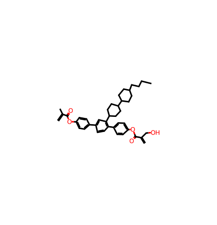 C=C(C)C(=O)Oc1ccc(-c2ccc(-c3ccc(OC(=O)C(=C)CO)cc3)c(C3CCC(C4CCC(CCCC)CC4)CC3)c2)cc1